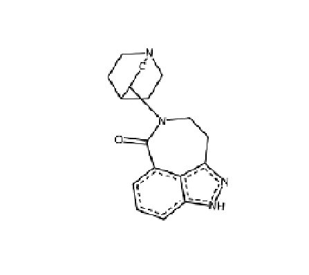 O=C1c2cccc3[nH]nc(c23)CCN1C1CN2CCC1CC2